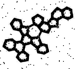 c1ccc(-n2c3ccccc3c3c4c5ccccc5c5ccccc5c4c4c5ccccc5n(-c5ccc6c(c5)sc5c7ccccc7ccc65)c4c32)cc1